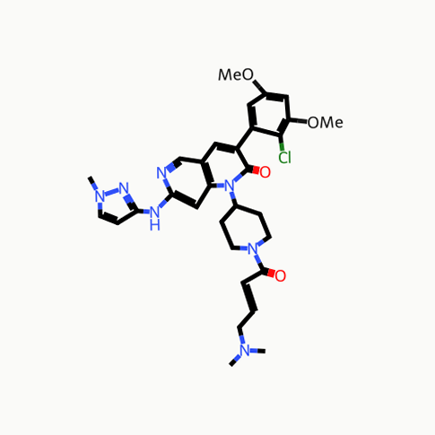 COc1cc(OC)c(Cl)c(-c2cc3cnc(Nc4ccn(C)n4)cc3n(C3CCN(C(=O)/C=C/CN(C)C)CC3)c2=O)c1